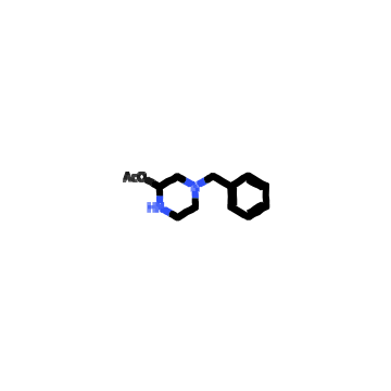 CC(=O)OC1CN(Cc2ccccc2)CCN1